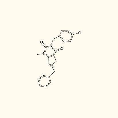 Cn1c2c(c(=O)n(Cc3ccc(Cl)cc3)c1=O)CN(Cc1ccccc1)C2